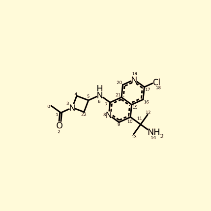 CC(=O)N1CC(Nc2ncc(C(C)(C)N)c3cc(Cl)ncc23)C1